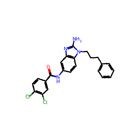 Nc1nc2cc(NC(=O)c3ccc(Cl)c(Cl)c3)ccc2n1CCCc1ccccc1